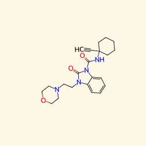 C#CC1(NC(=O)n2c(=O)n(CCN3CCOCC3)c3ccccc32)CCCCC1